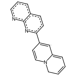 [C]1=C(c2ccc3cccnc3n2)C=CN2CC=CC=C12